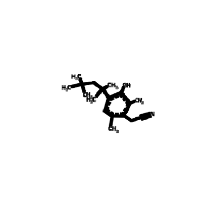 Cc1cc(C(C)(C)CC(C)(C)C)c(O)c(C)c1CC#N